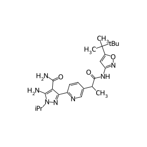 CC(C(=O)Nc1cc(C(C)(C)C(C)(C)C)on1)c1ccc(-c2nn(C(C)C)c(N)c2C(N)=O)nc1